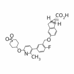 Cc1nc(OC2CCS(=O)(=O)CC2)ccc1-c1ccc(F)c(COc2ccc3c(c2)C[C@H]2[C@H](C(=O)O)[C@@H]32)c1